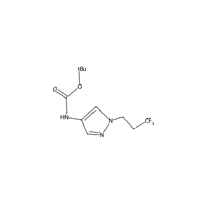 CC(C)(C)OC(=O)Nc1cnn(CCC(F)(F)F)c1